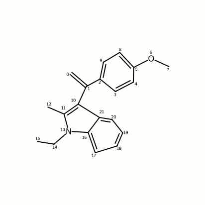 C=C(c1ccc(OC)cc1)c1c(C)n(CC)c2ccccc12